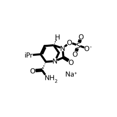 CC(C)C1=C[C@@H]2CN(C(=O)N2OS(=O)(=O)[O-])[C@@H]1C(N)=O.[Na+]